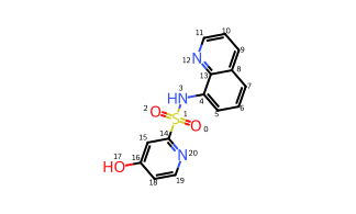 O=S(=O)(Nc1cccc2cccnc12)c1cc(O)ccn1